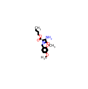 CCCCOC(=O)[C@@H]1[C@H](N)C(=O)N1Cc1ccc(OC)cc1OC